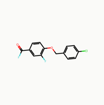 O=C(F)c1ccc(OCc2ccc(Cl)cc2)c(F)c1